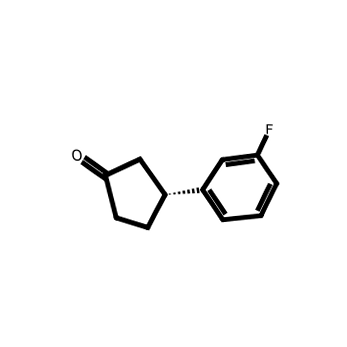 O=C1CC[C@@H](c2cccc(F)c2)C1